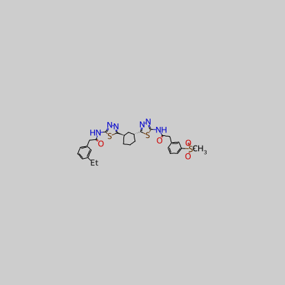 CCc1cccc(CC(=O)Nc2nnc([C@@H]3CCC[C@@H](c4nnc(NC(=O)Cc5cccc(S(C)(=O)=O)c5)s4)C3)s2)c1